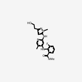 CNC(=O)c1cccc(F)c1Nc1cc(Nc2cc(CCO)nn2C)ncc1C